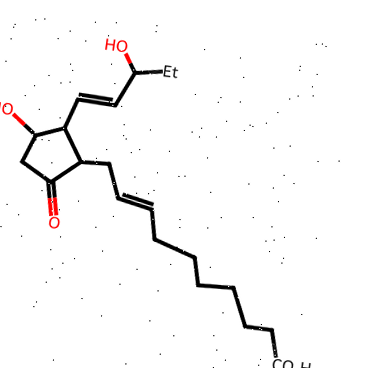 CCC(O)C=CC1C(O)CC(=O)C1CC=CCCCCCCC(=O)O